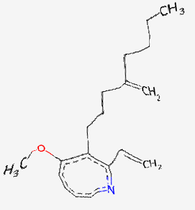 C=Cc1nccc(OC)c1CCCC(=C)CCCC